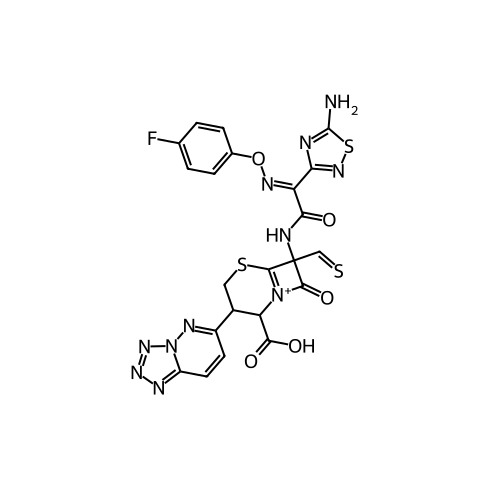 Nc1nc(C(=NOc2ccc(F)cc2)C(=O)NC2(C=S)C(=O)[N+]3=C2SCC(c2ccc4nnnn4n2)C3C(=O)O)ns1